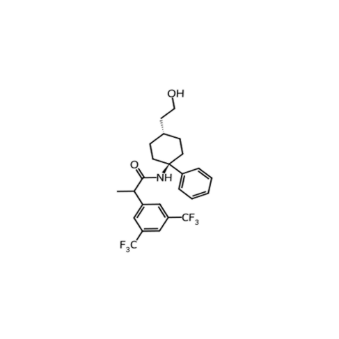 CC(C(=O)N[C@]1(c2ccccc2)CC[C@@H](CCO)CC1)c1cc(C(F)(F)F)cc(C(F)(F)F)c1